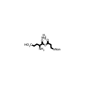 CCCCCCCCCCCC(=O)OC(=O)C(N)CCC(=O)O.[MgH2]